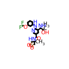 C[C@@H](O)C(=N)c1cc(C(=O)NC2(C)CS(=O)(=O)C2)cnc1Nc1cccc(OC(F)F)c1